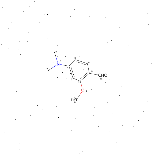 CCCOc1cc(N(C)C)ccc1C=O